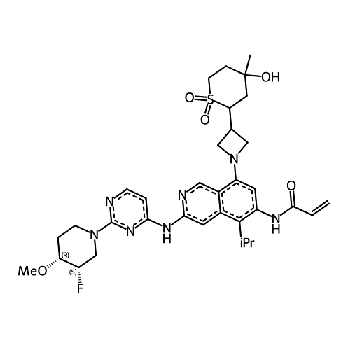 C=CC(=O)Nc1cc(N2CC(C3CC(C)(O)CCS3(=O)=O)C2)c2cnc(Nc3ccnc(N4CC[C@@H](OC)[C@@H](F)C4)n3)cc2c1C(C)C